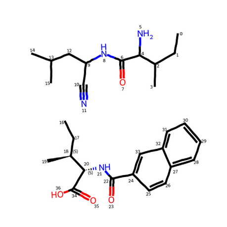 CCC(C)C(N)C(=O)NC(C#N)CC(C)C.CC[C@H](C)[C@H](NC(=O)c1ccc2ccccc2c1)C(=O)O